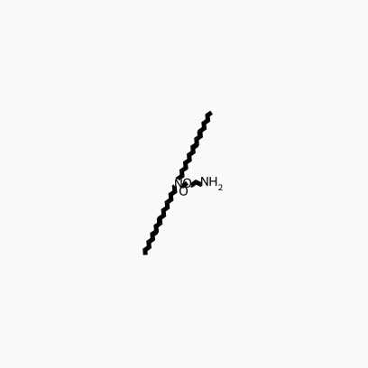 CCCCCC=CCC=CCCCCCCCCN(CCCCCCCCC=CCC=CCCCCC)C(=O)OCCCN